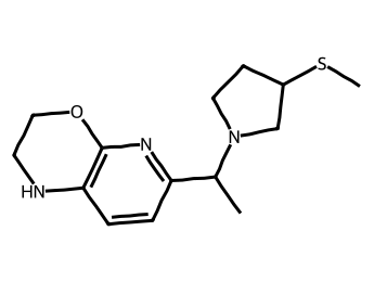 CSC1CCN(C(C)c2ccc3c(n2)OCCN3)C1